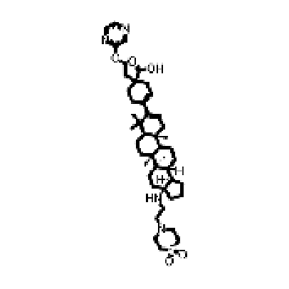 CC1(C)C(C2=CCC(CCOc3cnccn3)(C(=O)O)CC2)=CC[C@@]2(C)C1CC[C@]1(C)C2CC[C@@H]2[C@H]3CCC[C@]3(NCCN3CCS(=O)(=O)CC3)CC[C@]21C